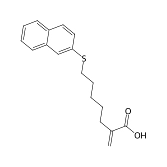 C=C(CCCCCSc1ccc2ccccc2c1)C(=O)O